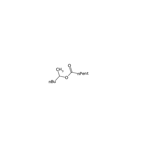 CCCCCC(=O)OC(C)CCCC